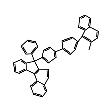 Cc1ccc2ccccc2c1-c1ccc(-c2ccc(C3(c4ccccc4)c4ccccc4-c4c3ccc3ccccc43)cc2)cc1